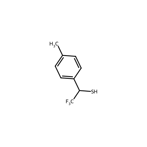 Cc1ccc(C(S)C(F)(F)F)cc1